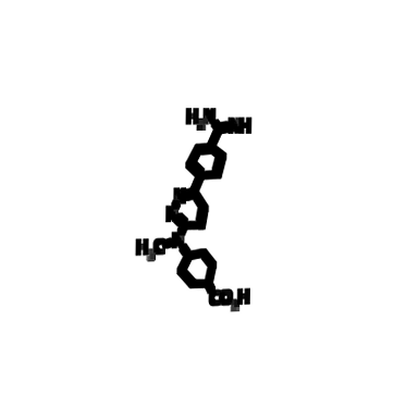 CN(c1ccc(-c2ccc(C(=N)N)cc2)nn1)C1CCC(C(=O)O)CC1